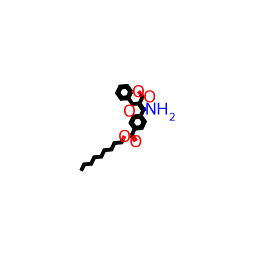 CCCCCCCCCOC(=O)c1ccc(/C(N)=C2/C(=O)Oc3ccccc3C2=O)cc1